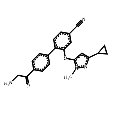 Cn1nc(C2CC2)cc1Oc1cc(C#N)ccc1-c1ccc(C(=O)CN)cc1